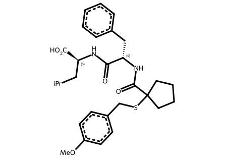 COc1ccc(CSC2(C(=O)N[C@@H](Cc3ccccc3)C(=O)N[C@@H](CC(C)C)C(=O)O)CCCC2)cc1